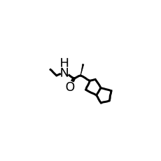 CCNC(=O)[C@@H](C)C1CC2CCCC2C1